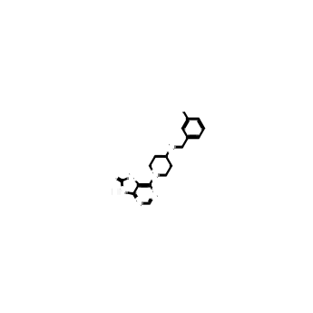 O=c1[nH]c2ncnc(N3CCC(NCc4cccc(Cl)c4)CC3)c2[nH]1